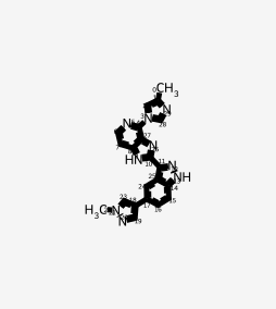 Cc1cn(-c2nccc3[nH]c(-c4n[nH]c5ccc(-c6cnn(C)c6)cc45)nc23)cn1